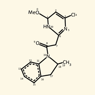 COC1C=C(Cl)N=C(CC(=O)N2c3ccccc3CC2C)N1